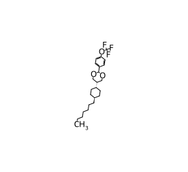 CCCCCCC[C@H]1CC[C@H](C2COC(c3ccc(OC(F)(F)F)cc3)OC2)CC1